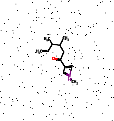 C=CC(C)C(C)CC(=O)C1=C[PH](C)=C1